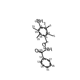 Bc1c(C)c(C)c(CONC(=O)c2ccccc2)c(C)c1C